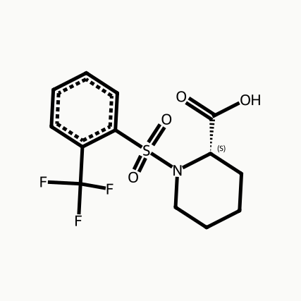 O=C(O)[C@@H]1CCCCN1S(=O)(=O)c1ccccc1C(F)(F)F